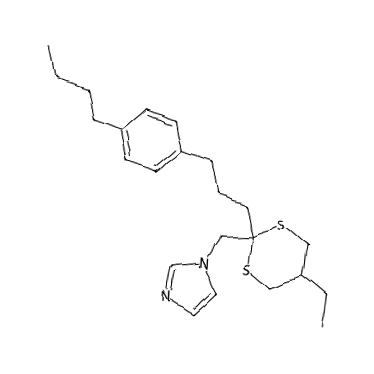 CCCCc1ccc(CCCC2(Cn3ccnc3)SCC(CC)CS2)cc1